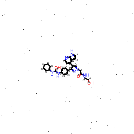 O=C(Cn1cc(-c2ccnc3[nH]ccc23)c(-c2ccc(NC(O)NC3=CCCC=C3)cc2)n1)NCCO